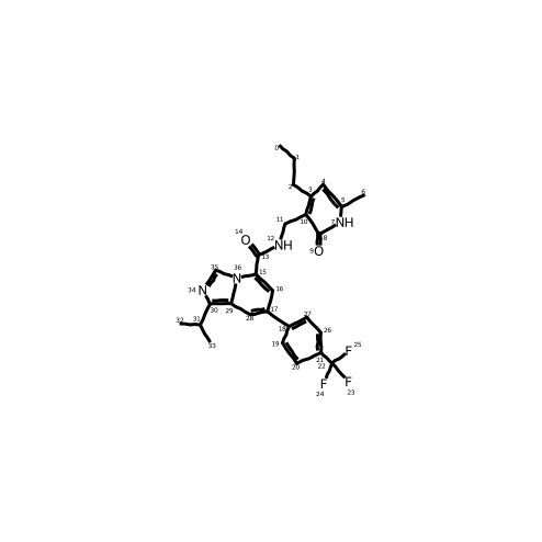 CCCc1cc(C)[nH]c(=O)c1CNC(=O)c1cc(-c2ccc(C(F)(F)F)cc2)cc2c(C(C)C)ncn12